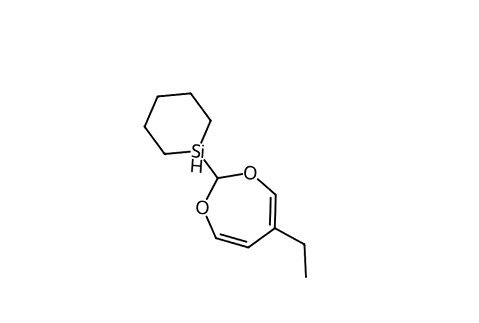 CCC1=COC([SiH]2CCCCC2)OC=C1